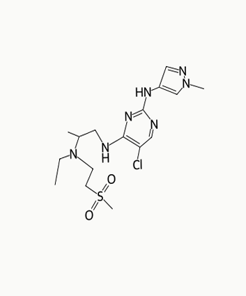 CCN(CCS(C)(=O)=O)C(C)CNc1nc(Nc2cnn(C)c2)ncc1Cl